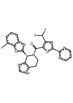 O=C(c1oc(-c2ncccn2)nc1C(F)F)N1CCc2[nH]cnc2[C@H]1c1nc2cccc(F)c2o1